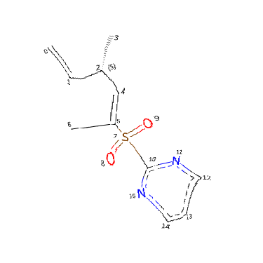 C=C[C@H](C)C=C(C)S(=O)(=O)c1ncccn1